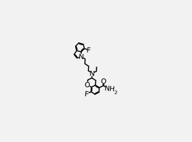 CCN(CCCCn1ccc2cccc(F)c21)C1COc2c(F)ccc(C(N)=O)c2C1